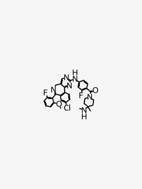 CNC1(C)CCN(C(=O)c2ccc(Nc3ncc4c(n3)-c3ccc(Cl)cc3C(c3c(F)cccc3OC)=NC4)cc2F)CC1